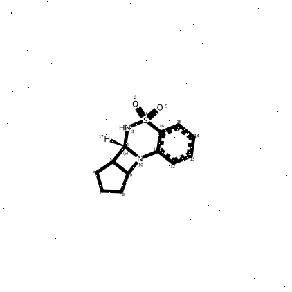 O=S1(=O)N[C@H]2C3CCCC3N2c2ccccc21